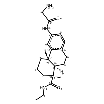 CCNC(=O)[C@@]1(C)CCC[C@]2(C)c3cc(NC(=O)CN)ccc3CC[C@@H]12